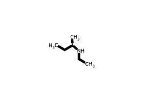 CCNI(C)CC